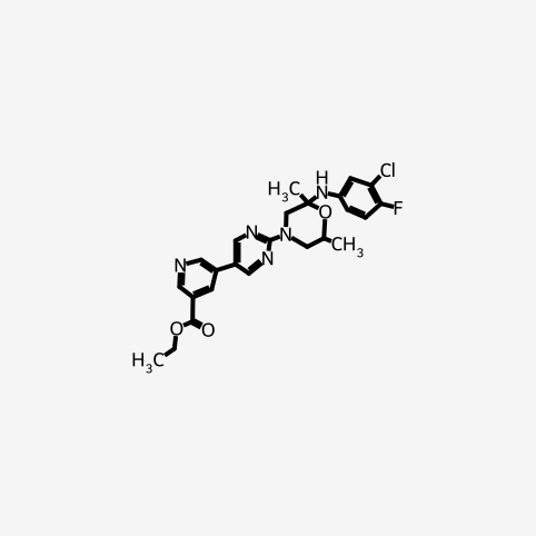 CCOC(=O)c1cncc(-c2cnc(N3CC(C)OC(C)(Nc4ccc(F)c(Cl)c4)C3)nc2)c1